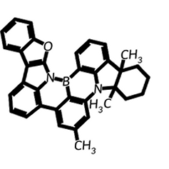 Cc1cc2c3c(c1)N1c4c(cccc4C4(C)CCCCC14C)B3n1c3oc4ccccc4c3c3cccc-2c31